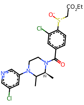 CCOC(=O)C[S+]([O-])c1ccc(C(=O)N2CCN(c3cncc(Cl)c3)C(C)[C@@H]2C)cc1Cl